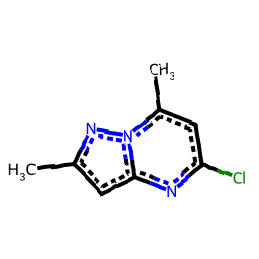 Cc1cc2nc(Cl)cc(C)n2n1